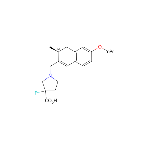 CCCOc1ccc2c(c1)C[C@H](C)C(CN1CCC(F)(C(=O)O)C1)=C2